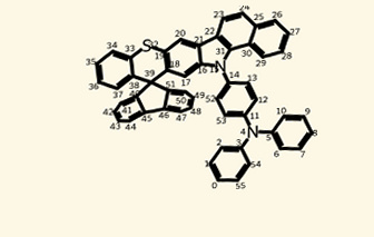 c1ccc(N(c2ccccc2)c2ccc(-n3c4cc5c(cc4c4ccc6ccccc6c43)Sc3ccccc3C53c4ccccc4-c4ccccc43)cc2)cc1